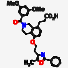 COc1cc(OC)cc(C(=O)N2CCc3c(OCCc4nc(-c5ccccc5)oc4C)ccc(CCC(=O)O)c3C2)c1